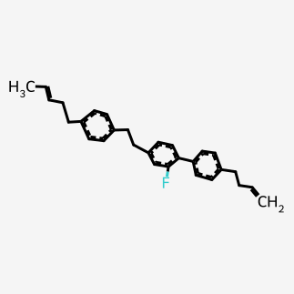 C=CCCc1ccc(-c2ccc(CCc3ccc(CC/C=C/C)cc3)cc2F)cc1